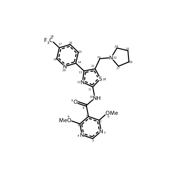 COc1ncnc(OC)c1C(=O)Nc1nc(-c2ccc(C(F)(F)F)cn2)c(CN2CCCC2)s1